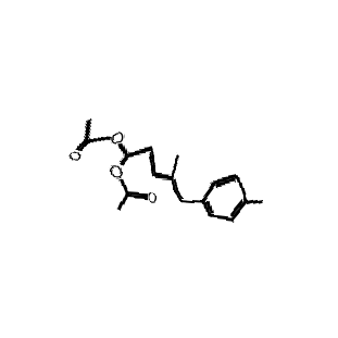 CC(=O)OC(/C=C/C(C)=C/c1ccc(C)cc1)OC(C)=O